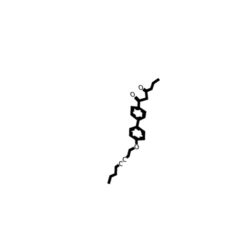 CCCCCCCCOc1ccc(-c2ccc(C(=O)CC(=O)CCC)cc2)cc1